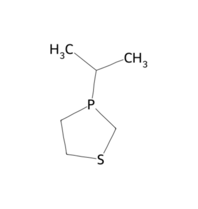 CC(C)P1CCSC1